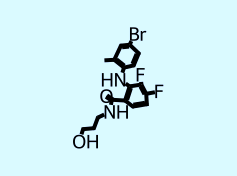 Cc1cc(Br)ccc1Nc1c(C(=O)NCCCO)ccc(F)c1F